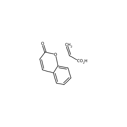 C=CC(=O)O.O=c1ccc2ccccc2o1